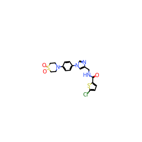 O=C(NCc1cn(-c2ccc(N3CCS(=O)(=O)CC3)cc2)cn1)c1ccc(Cl)s1